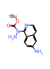 CC(C)(C)OC(=O)N(N)c1nccc2cc(N)ccc12